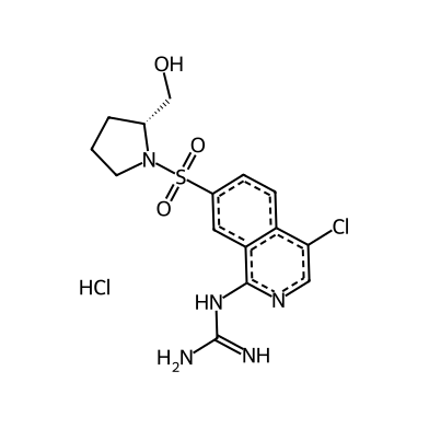 Cl.N=C(N)Nc1ncc(Cl)c2ccc(S(=O)(=O)N3CCC[C@@H]3CO)cc12